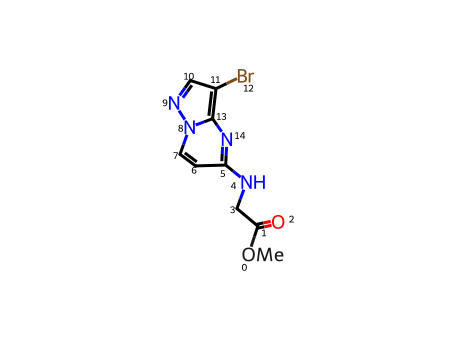 COC(=O)CNc1ccn2ncc(Br)c2n1